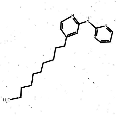 CCCCCCCCCCc1ccnc(Nc2ncccn2)c1